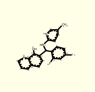 Cc1ccc(NC(c2ccc(F)cc2F)c2ccc3cccnc3c2O)nc1